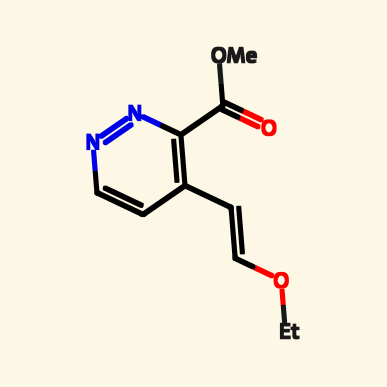 CCOC=Cc1ccnnc1C(=O)OC